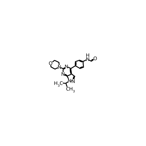 CC(C)n1ncc2c(-c3ccc(NC=O)cc3)nc(N3CCOCC3)nc21